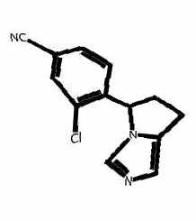 N#Cc1ccc(C2CCc3cncn32)c(Cl)c1